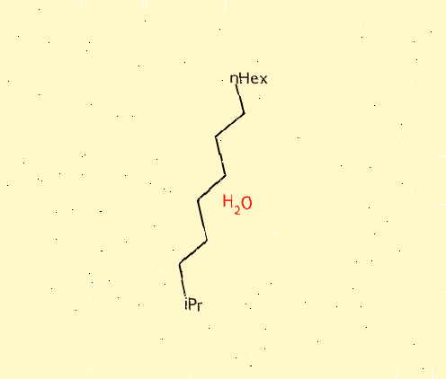 O.[CH2]C(C)CCCCCCCCCCCC